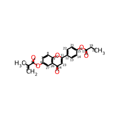 C=C(C)C(=O)Oc1ccc2oc(-c3ccc(OC(=O)CC)cc3)cc(=O)c2c1